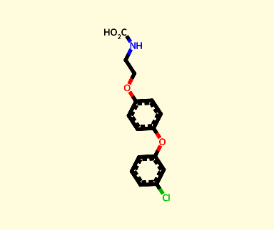 O=C(O)NCCOc1ccc(Oc2cccc(Cl)c2)cc1